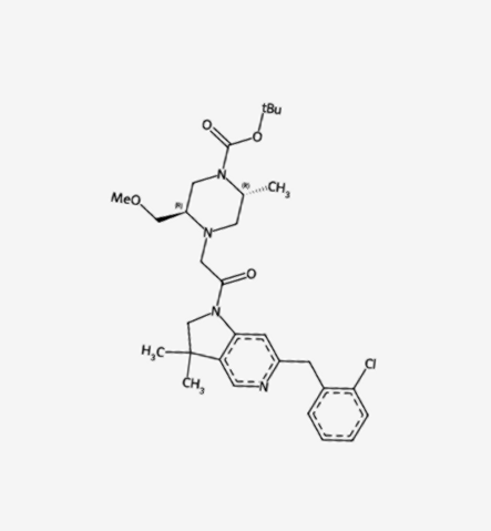 COC[C@H]1CN(C(=O)OC(C)(C)C)[C@H](C)CN1CC(=O)N1CC(C)(C)c2cnc(Cc3ccccc3Cl)cc21